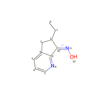 CCC1Cc2cccnc2/C1=N\O